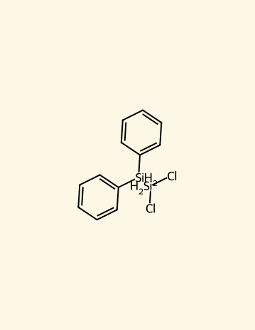 Cl[SiH2]Cl.c1ccc([SiH2]c2ccccc2)cc1